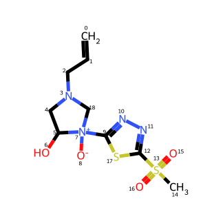 C=CCN1CC(O)[N+]([O-])(c2nnc(S(C)(=O)=O)s2)C1